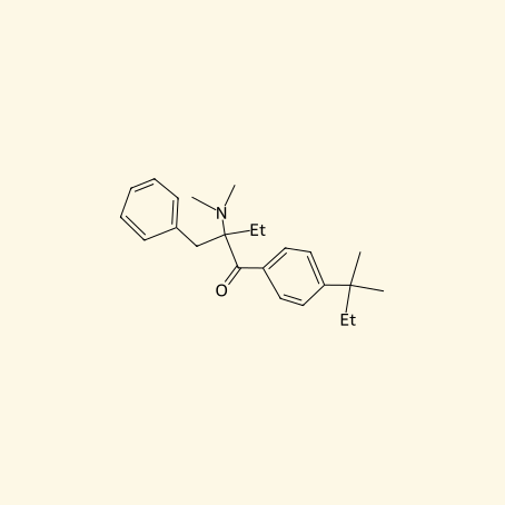 CCC(C)(C)c1ccc(C(=O)C(CC)(Cc2ccccc2)N(C)C)cc1